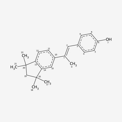 C/C(=C\c1ccc(O)cc1)c1ccc2c(c1)C(C)(C)CC2(C)C